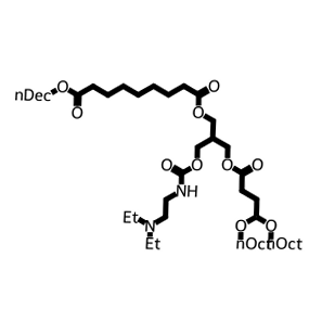 CCCCCCCCCCOC(=O)CCCCCCCC(=O)OCC(COC(=O)CCC(OCCCCCCCC)OCCCCCCCC)COC(=O)NCCN(CC)CC